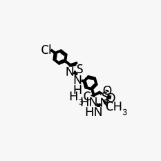 CN1C(=N)N[C@](C)(c2cccc(Nc3nc(-c4ccc(Cl)cc4)cs3)c2)CS1(=O)=O